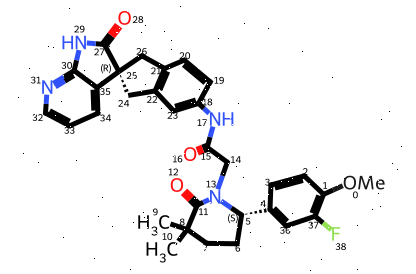 COc1ccc([C@@H]2CCC(C)(C)C(=O)N2CC(=O)Nc2ccc3c(c2)C[C@@]2(C3)C(=O)Nc3ncccc32)cc1F